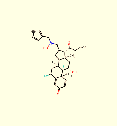 CSCC(=O)[C@H]1[C@H](CN(O)CC2=CBC=C2)CC2[C@@H]3C[C@H](F)C4=CC(=O)C=CC4(C)[C@@]3(F)[C@@H](O)C[C@@]21C